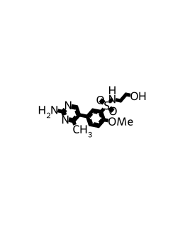 COc1ccc(-c2cnc(N)nc2C)cc1S(=O)(=O)NCCO